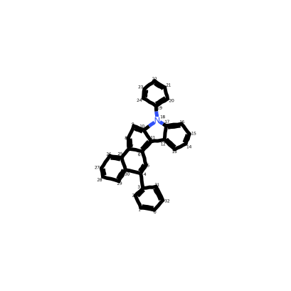 c1ccc(-c2cc3c(ccc4c3c3ccccc3n4-c3ccccc3)c3ccccc23)cc1